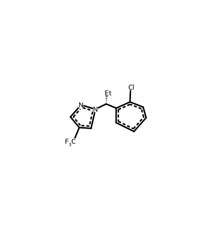 CC[C@H](c1ccccc1Cl)n1cc(C(F)(F)F)cn1